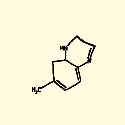 CC1=CC=C2N=CCNC2C1